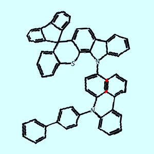 c1ccc(-c2ccc(N(c3ccc(-n4c5ccccc5c5ccc6c(c54)Sc4ccccc4C64c5ccccc5-c5ccccc54)cc3)c3ccccc3-c3ccccc3)cc2)cc1